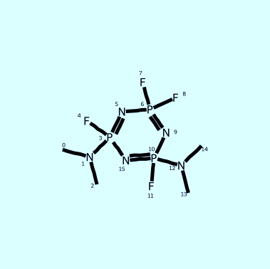 CN(C)P1(F)=NP(F)(F)=NP(F)(N(C)C)=N1